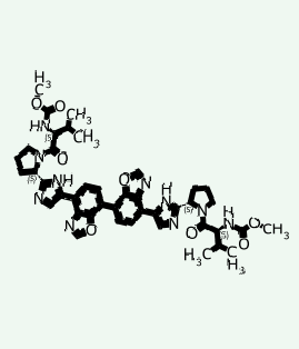 COC(=O)N[C@H](C(=O)N1CCC[C@H]1c1ncc(-c2ccc(-c3ccc(-c4cnc([C@@H]5CCCN5C(=O)[C@@H](NC(=O)OC)C(C)C)[nH]4)c4ncoc34)c3ocnc23)[nH]1)C(C)C